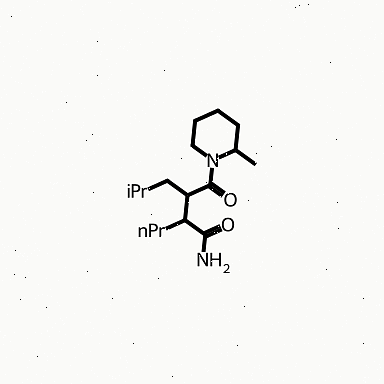 CCCC(C(N)=O)C(CC(C)C)C(=O)N1CCCCC1C